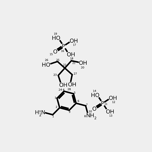 NCc1cccc(CN)c1.O=P(O)(O)O.O=P(O)(O)O.OCC(CO)(CO)CO